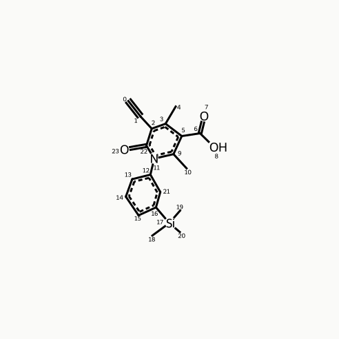 C#Cc1c(C)c(C(=O)O)c(C)n(-c2cccc([Si](C)(C)C)c2)c1=O